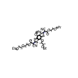 [C-]#[N+]/C(C(=O)OCCOCCC)=C1\Sc2c(OCCC)c3c(c(OCCOCC)c2S1)S/C(=C(\C#N)C(=O)OCCOCCOCC)S3